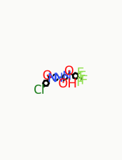 O=C(c1ccc(Cl)cc1)N1CCN(C2CN(C(=O)c3ccc(C(F)(F)F)c(F)c3)CC2O)CC1